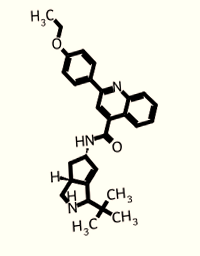 CCOc1ccc(-c2cc(C(=O)N[C@@H]3C=C4C(C(C)(C)C)NC[C@@H]4C3)c3ccccc3n2)cc1